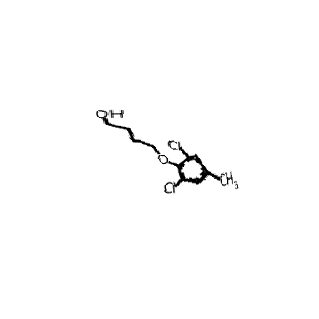 Cc1cc(Cl)c(OCCCCO)c(Cl)c1